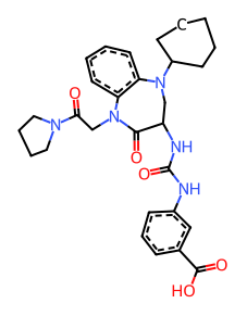 O=C(Nc1cccc(C(=O)O)c1)NC1CN(C2CCCCC2)c2ccccc2N(CC(=O)N2CCCC2)C1=O